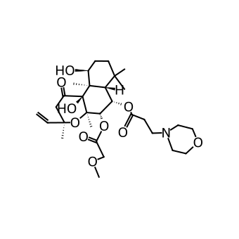 C=C[C@@]1(C)CC(=O)[C@]2(O)[C@@]3(C)[C@@H](O)CCC(C)(C)[C@@H]3[C@H](OC(=O)CCN3CCOCC3)[C@H](OC(=O)COC)[C@@]2(C)O1